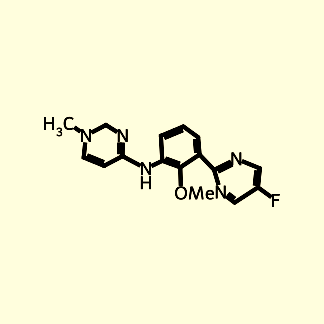 COc1c(NC2=NCN(C)C=C2)cccc1-c1ncc(F)cn1